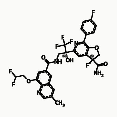 Cc1cnc2c(OCC(F)F)cc(C(=O)NC[C@](O)(c3cc4c(c(-c5ccc(F)cc5)n3)OC[C@]4(F)C(N)=O)C(F)(F)F)cc2c1